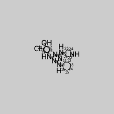 Oc1ccc(Nc2nc(NC3CCCCCC3)nc(NC3CCNCC3)n2)cc1Cl